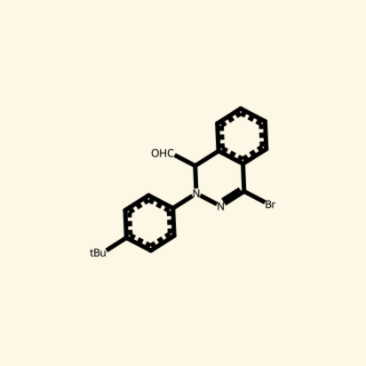 CC(C)(C)c1ccc(N2N=C(Br)c3ccccc3C2C=O)cc1